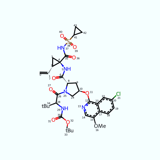 C=C[C@@H]1C[C@]1(NC(=O)[C@@H]1C[C@@H](Oc2ncc(OC)c3ccc(Cl)cc23)CN1C(=O)C(NC(=O)OC(C)(C)C)C(C)(C)C)C(=O)NS(=O)(=O)C1CC1